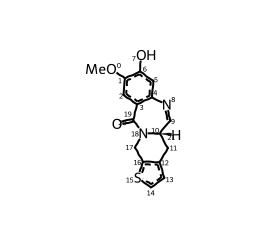 COc1cc2c(cc1O)N=C[C@@H]1Cc3ccsc3CN1C2=O